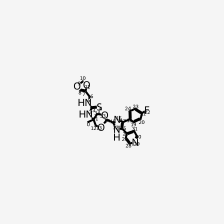 CC1(NC(=S)NCC2=COCO2)COC(c2nc(-c3ccc(F)cc3)c(-c3ccncc3)[nH]2)OC1